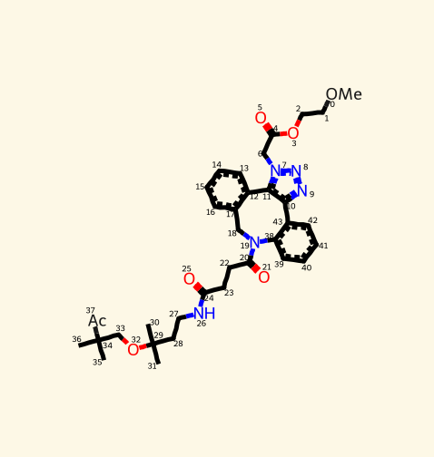 COCCOC(=O)Cn1nnc2c1-c1ccccc1CN(C(=O)CCC(=O)NCCC(C)(C)OCC(C)(C)C(C)=O)c1ccccc1-2